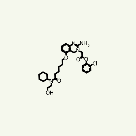 NC1=Nc2cccc(OCCCCCC(=O)N(CCO)C3CCCCC3)c2CN1CC(=O)Oc1ccccc1Cl